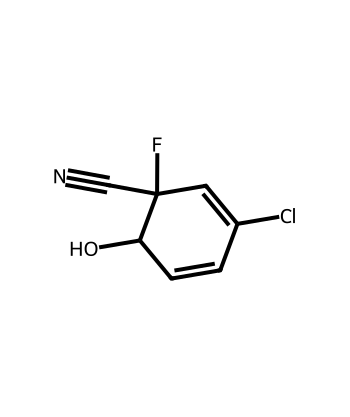 N#CC1(F)C=C(Cl)C=CC1O